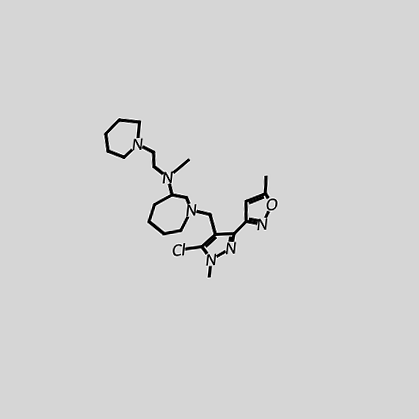 Cc1cc(-c2nn(C)c(Cl)c2CN2CCCCC(N(C)CCN3CCCCC3)C2)no1